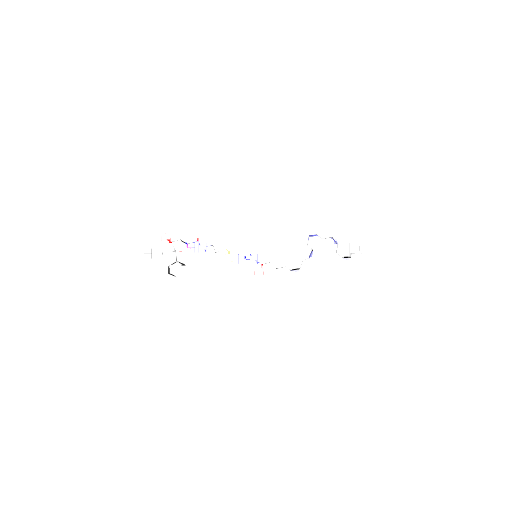 CC/C=C\C/C=C\C/C=C\C/C=C\C/C=C\CCCC(=O)NCCSSCCNC(=O)C1=CC(=O)C(C)(c2ccccc2)O1